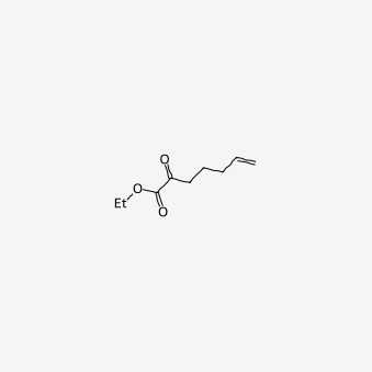 C=CCCCC(=O)C(=O)OCC